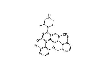 Cc1ccnc(C(C)C)c1-n1c(=O)nc(N2CCNC[C@@H]2C)c2cc(C(F)(F)F)c3c(c21)OCc1cccc(F)c1-3